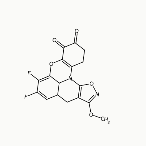 COc1noc2c1CC1C=C(F)C(F)=C3OC4=C(CCC(=O)C4=O)N2C31